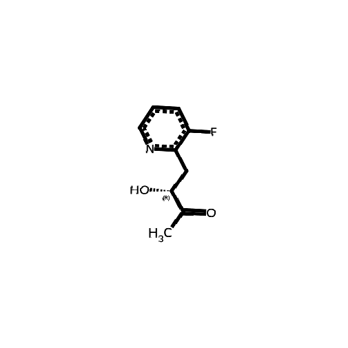 CC(=O)[C@H](O)Cc1ncccc1F